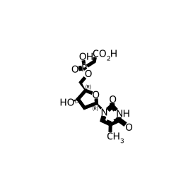 Cc1cn([C@H]2C[C@H](O)[C@@H](COP(=O)(O)CC(=O)O)O2)c(=O)[nH]c1=O